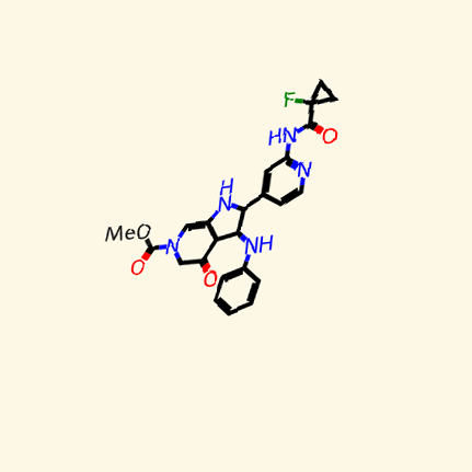 COC(=O)N1C=C2NC(c3ccnc(NC(=O)C4(F)CC4)c3)C(Nc3ccccc3)C2C(=O)C1